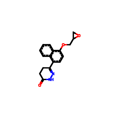 O=C1CCC(c2ccc(OCC3CO3)c3ccccc23)=NN1